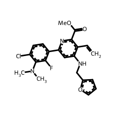 C=Cc1c(NCc2ccco2)cc(-c2ccc(Cl)c(N(C)C)c2F)nc1C(=O)OC